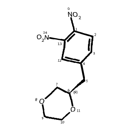 O=[N+]([O-])c1ccc(C[C@@H]2COCCO2)cc1[N+](=O)[O-]